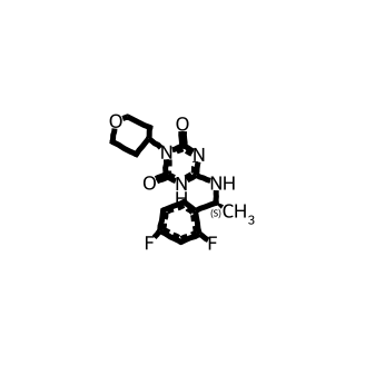 C[C@H](Nc1nc(=O)n(C2CCOCC2)c(=O)[nH]1)c1ccc(F)cc1F